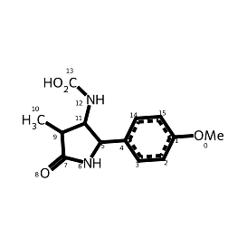 COc1ccc(C2NC(=O)C(C)C2NC(=O)O)cc1